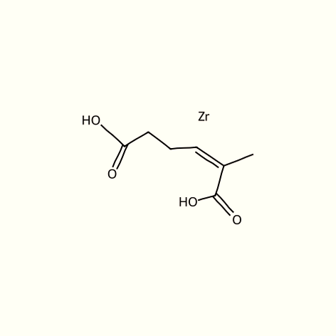 CC(=CCCC(=O)O)C(=O)O.[Zr]